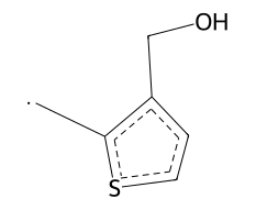 [CH2]c1sccc1CO